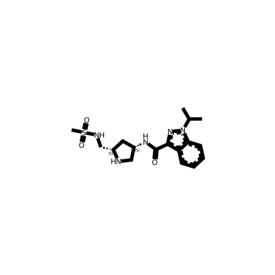 CC(C)n1nc(C(=O)N[C@@H]2CN[C@H](CNS(C)(=O)=O)C2)c2ccccc21